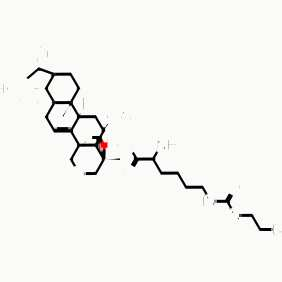 CC(=O)O[C@@H]1C[C@@]23COC[C@](C)([C@@H]2CC[C@H]2C3=CC[C@@]3(C)[C@H](C(=O)O)[C@@](C)([C@H](C)C(C)C)CC[C@]23C)[C@H]1OC(=O)C(N)CCCCNC(=O)NCCBr